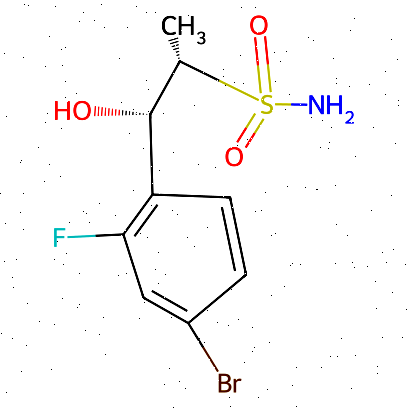 C[C@@H]([C@@H](O)c1ccc(Br)cc1F)S(N)(=O)=O